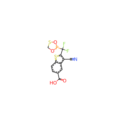 N#Cc1c(C(F)(F)P2OCSO2)sc2ccc(C(=O)O)cc12